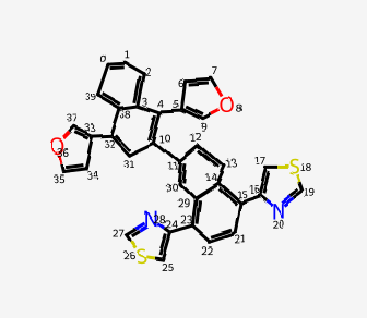 c1ccc2c(-c3ccoc3)c(-c3ccc4c(-c5cscn5)ccc(-c5cscn5)c4c3)cc(-c3ccoc3)c2c1